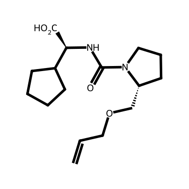 C=CCOC[C@H]1CCCN1C(=O)N[C@H](C(=O)O)C1CCCC1